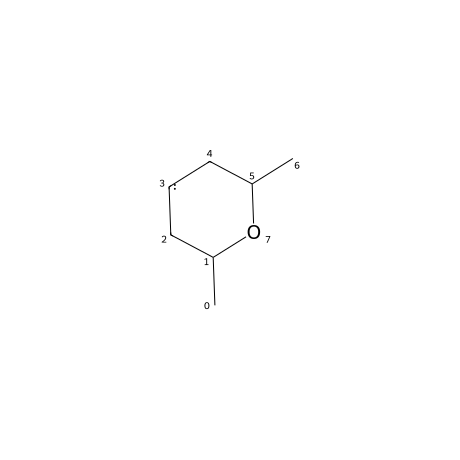 CC1C[C]CC(C)O1